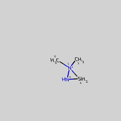 C[N+]1(C)N[SiH2]1